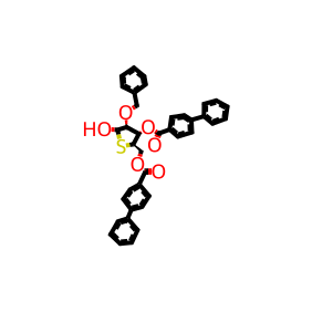 O=C(OC[C@H]1SC(O)[C@@H](OCc2ccccc2)[C@H]1OC(=O)c1ccc(-c2ccccc2)cc1)c1ccc(-c2ccccc2)cc1